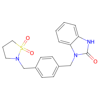 O=c1[nH]c2ccccc2n1Cc1ccc(CN2CCCS2(=O)=O)cc1